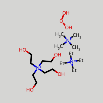 CC[N+](CC)(CC)CC.C[N+](C)(C)C.OCC[N+](CCO)(CCO)CCO.OOO